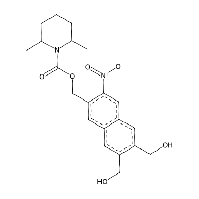 CC1CCCC(C)N1C(=O)OCc1cc2cc(CO)c(CO)cc2cc1[N+](=O)[O-]